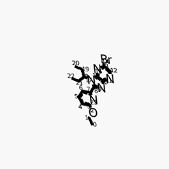 CCOc1cccc(-c2nc3ncc(Br)nc3n2C(CC)CC)n1